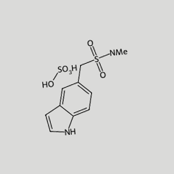 CNS(=O)(=O)Cc1ccc2[nH]ccc2c1.O=S(=O)(O)O